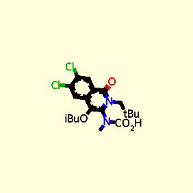 CC(C)COc1c(N(C)C(=O)O)n(CC(C)(C)C)c(=O)c2cc(Cl)c(Cl)cc12